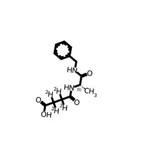 [2H]C([2H])(C(=O)O)C([2H])([2H])C(=O)N[C@@H](C)C(=O)NCc1ccccc1